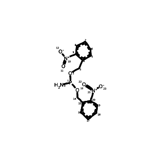 NP(OCc1ccccc1[N+](=O)[O-])OCc1ccccc1[N+](=O)[O-]